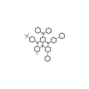 Cc1ccc2c(c1)B1c3cc(-c4ccccc4)ccc3N(c3ccc(-c4ccccc4)cc3)c3cc(N(c4ccccc4)c4ccccc4)cc(c31)N2c1ccc(C(C)(C)C)cc1